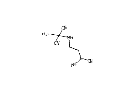 CC(C#N)(C#N)NCCN(C#N)C#N